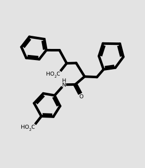 O=C(O)c1ccc(NC(=O)C(Cc2ccccc2)CC(Cc2ccccc2)C(=O)O)cc1